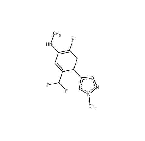 CNC1=C(F)CC(c2cnn(C)c2)C(C(F)F)=C1